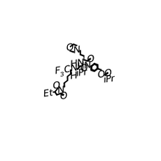 CCC1CC(=O)N(CCCCC[C@H](N[C@H](C(=O)N[C@@H](CCCN2CCOCC2)C(=O)Nc2ccc(COC(=O)C(C)C)cc2)C(C)C)C(F)(F)F)C1=O